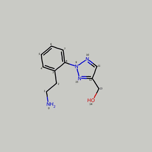 NCCc1ccccc1-n1ncc(CO)n1